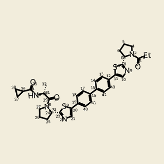 CCC(=O)N1CCC[C@H]1c1ncc(-c2ccc(-c3ccc(-c4cnc([C@@H]5CCCN5C(=O)[C@@H](C)NC(=O)C5CC5)s4)cc3)cc2)s1